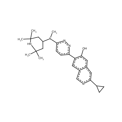 CN(c1ccc(-c2cc3cnc(C4CC4)cc3cc2O)nn1)C1CC(C)(C)NC(C)(C)C1